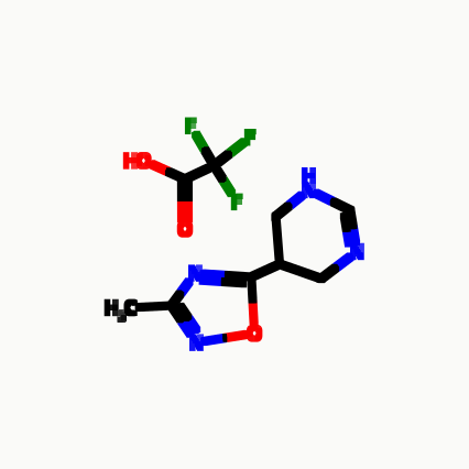 Cc1noc(C2CN=CNC2)n1.O=C(O)C(F)(F)F